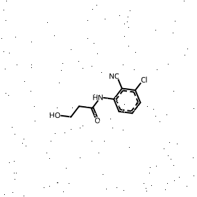 N#Cc1c(Cl)cccc1NC(=O)CCO